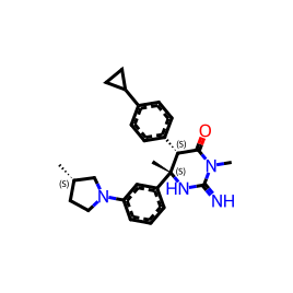 C[C@H]1CCN(c2cccc([C@@]3(C)NC(=N)N(C)C(=O)[C@H]3c3ccc(C4CC4)cc3)c2)C1